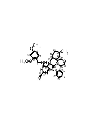 COc1ccc(CNc2nc(C#N)nc3nc(N4CCOC[C@H]4c4ccccc4)n(CC4CCC(C)CC4)c23)c(OC)c1